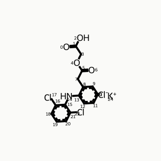 O=C(O)COC(=O)Cc1ccccc1Nc1c(Cl)cccc1Cl.[Cl-].[K+]